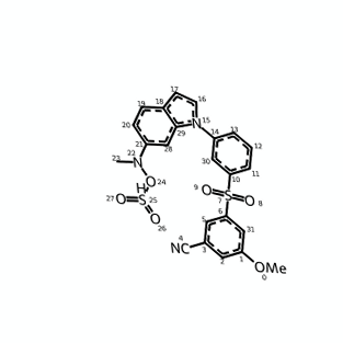 COc1cc(C#N)cc(S(=O)(=O)c2cccc(-n3ccc4ccc(N(C)O[SH](=O)=O)cc43)c2)c1